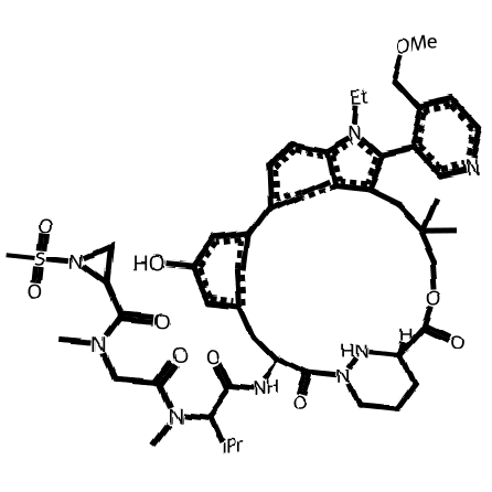 CCn1c(-c2cnccc2COC)c2c3cc(ccc31)-c1cc(O)cc(c1)C[C@H](NC(=O)C(C(C)C)N(C)C(=O)CN(C)C(=O)C1CN1S(C)(=O)=O)C(=O)N1CCC[C@H](N1)C(=O)OCC(C)(C)C2